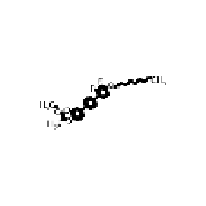 CCCCCCCCCOc1ccc(-c2ccc(-c3ccc(OC(C)C(=O)OCC)cc3)cc2)c(F)c1F